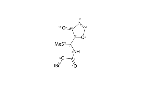 CSC(NC(=O)OC(C)(C)C)C1OC=NC1=O